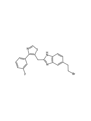 Fc1cccc(-c2ncsc2Cc2nc3cc(CCBr)ccc3[nH]2)c1